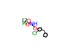 CC(OC(=O)NCCOc1ccc(Cc2ccccc2)cc1Cl)C(F)(F)F